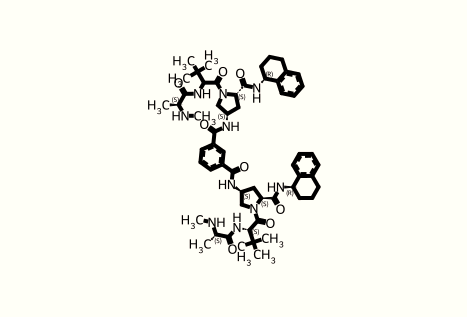 CN[C@@H](C)C(=O)NC(C(=O)N1C[C@@H](NC(=O)c2cccc(C(=O)N[C@H]3C[C@@H](C(=O)N[C@@H]4CCCc5ccccc54)N(C(=O)[C@@H](NC(=O)[C@H](C)NC)C(C)(C)C)C3)c2)C[C@H]1C(=O)N[C@@H]1CCCc2ccccc21)C(C)(C)C